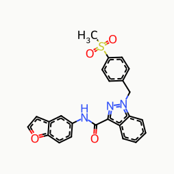 CS(=O)(=O)c1ccc(Cn2nc(C(=O)Nc3ccc4occc4c3)c3ccccc32)cc1